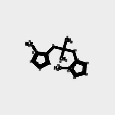 Cn1cccc1CC(C)(C)Cc1cccn1C